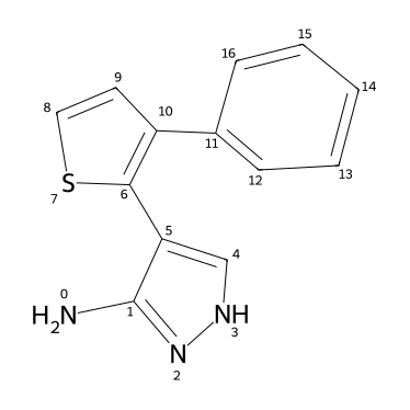 Nc1n[nH]cc1-c1sccc1-c1ccccc1